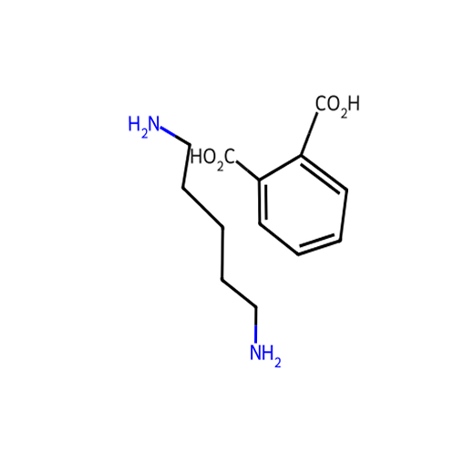 NCCCCCN.O=C(O)c1ccccc1C(=O)O